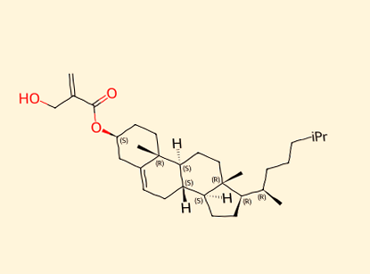 C=C(CO)C(=O)O[C@H]1CC[C@@]2(C)C(=CC[C@H]3[C@@H]4CC[C@H]([C@H](C)CCCC(C)C)[C@@]4(C)CC[C@@H]32)C1